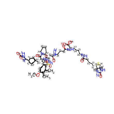 COc1cc(C)c(S(=O)(=O)N[C@@H](CC(=O)NCCCC(=O)N[C@@H](CCCCNC(=O)CCCC[C@@H]2SC[C@@H]3NC(=O)N[C@@H]32)C(=O)O)C(=O)N[C@H](Cc2ccc(-c3noc(=O)[nH]3)cc2)C(=O)N2CCCCC2)c(C)c1C